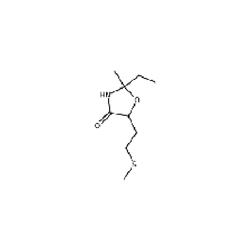 CCC1(C)NC(=O)C(CCSC)O1